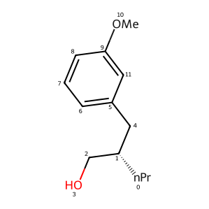 CCC[C@H](CO)Cc1cccc(OC)c1